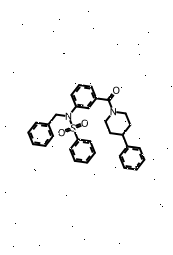 O=C(c1cccc(N(Cc2ccccc2)S(=O)(=O)c2ccccc2)c1)N1CCC(c2ccccc2)CC1